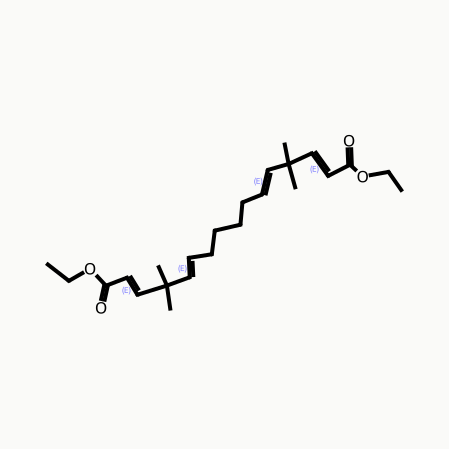 CCOC(=O)/C=C/C(C)(C)/C=C/CCCC/C=C/C(C)(C)/C=C/C(=O)OCC